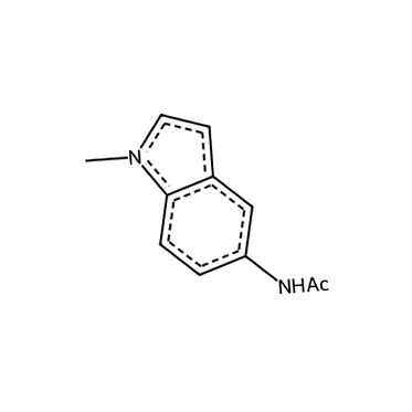 CC(=O)Nc1ccc2c(ccn2C)c1